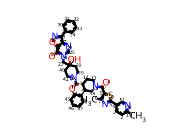 Cc1ccc(-c2nc(C)c(C(=O)N3CC[C@@H](C(=O)N4CCC(O)(Cn5cnc6c(-c7ccccc7)noc6c5=O)CC4)[C@H](c4ccccc4)C3)s2)cn1